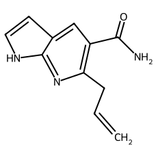 C=CCc1nc2[nH]ccc2cc1C(N)=O